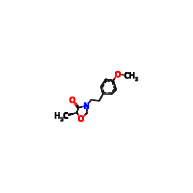 COc1ccc(CCN2CO[C@@H](C)C2=O)cc1